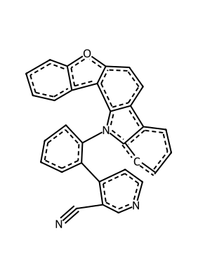 N#Cc1cnccc1-c1ccccc1-n1c2ccccc2c2ccc3oc4ccccc4c3c21